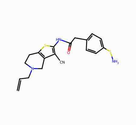 C=CCN1CCc2sc(NC(=O)Cc3ccc(SN)cc3)c(C#N)c2C1